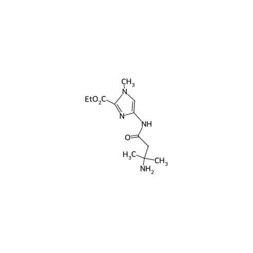 CCOC(=O)c1nc(NC(=O)CC(C)(C)N)cn1C